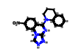 O=[N+]([O-])c1ccc2c(N3CCCc4ccccc43)nc3nncn3c2c1